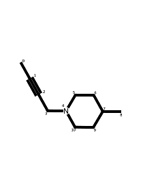 CC#CCN1CCC(C)CC1